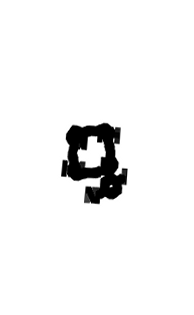 C1=Cc2cc3ccc(cc4nc(cc5ccc(cc1n2)[nH]5)C=C4)[nH]3.[Ni][c]1ccc(I)cc1